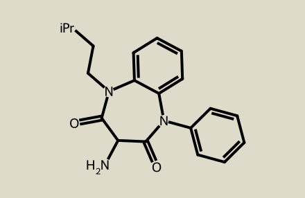 CC(C)CCN1C(=O)C(N)C(=O)N(c2ccccc2)c2ccccc21